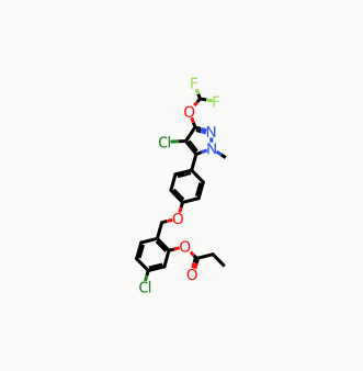 CCC(=O)Oc1cc(Cl)ccc1COc1ccc(-c2c(Cl)c(OC(F)F)nn2C)cc1